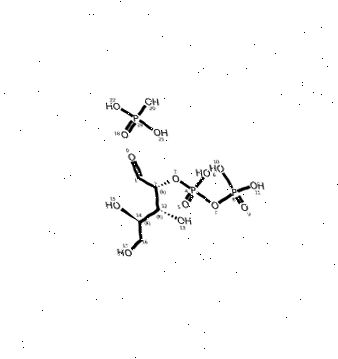 O=C[C@H](OP(=O)(O)OP(=O)(O)O)[C@H](O)[C@H](O)CO.O=P(O)(O)O